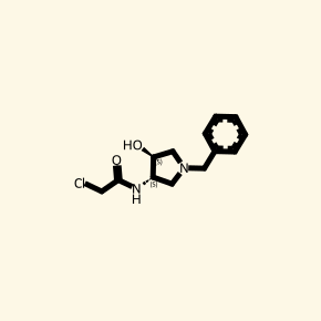 O=C(CCl)N[C@H]1CN(Cc2ccccc2)C[C@@H]1O